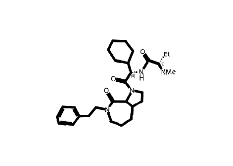 CC[C@H](NC)C(=O)N[C@H](C(=O)N1CCC2CCCN(CCc3ccccc3)C(=O)C21)C1CCCCC1